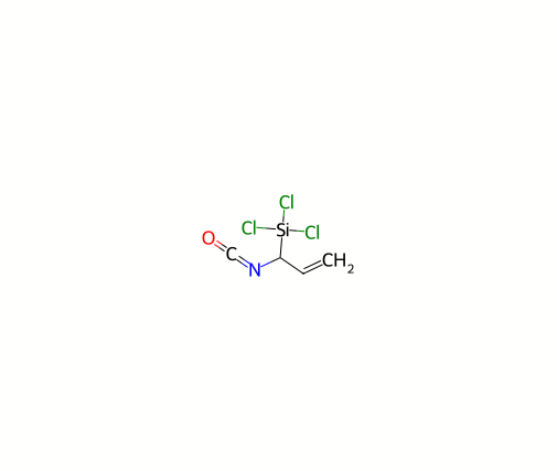 C=CC(N=C=O)[Si](Cl)(Cl)Cl